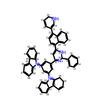 C1=Cc2c(n(-c3cc(C4=NC(c5ccccc5)NC(c5ccc(C6=CNCC=C6)c6ccccc56)=C4)cc(-n4c5ccccc5c5ccccc54)c3)c3ccccc23)CC1